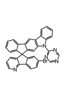 Brc1ccc2c(c1)C1(c3ccccc3-c3cc4c5ccccc5n(-c5ncncn5)c4cc31)c1cccnc1-2